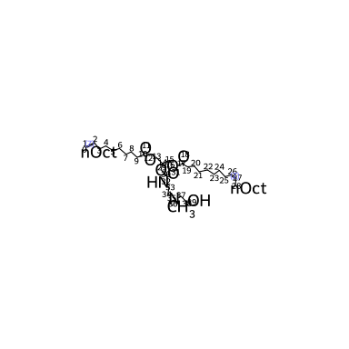 CCCCCCCC/C=C\CCCCCCCC(=O)OCC(COC(=O)CCCCCCC/C=C\CCCCCCCC)OC(=O)NCCN(C)CCO